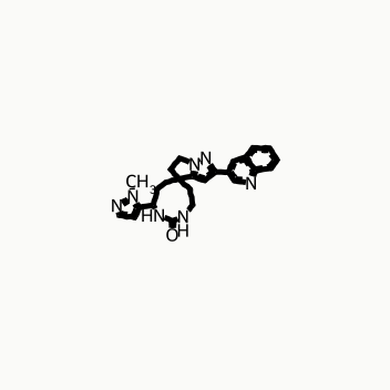 Cn1nccc1C1CCC2(CCNC(=O)N1)CCn1nc(-c3cnc4ccccc4c3)cc12